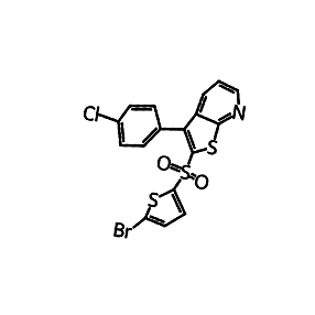 O=S(=O)(c1ccc(Br)s1)c1sc2ncccc2c1-c1ccc(Cl)cc1